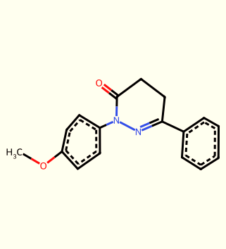 COc1ccc(N2N=C(c3ccccc3)CCC2=O)cc1